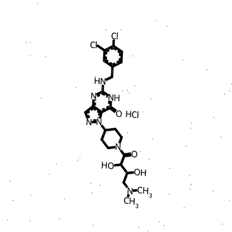 CN(C)CC(O)C(O)C(=O)N1CCC(n2ncc3nc(NCc4ccc(Cl)c(Cl)c4)[nH]c(=O)c32)CC1.Cl